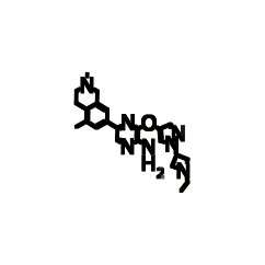 CCN1CC(n2cc(Oc3nc(-c4cc(C)c5c(c4)CN(C)CC5)cnc3N)cn2)C1